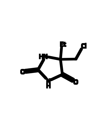 CCC1(CCl)NC(=O)NC1=O